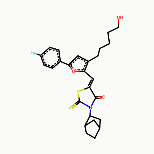 O=C1C(=Cc2oc(-c3ccc(F)cc3)cc2CCCCCO)SC(=S)N1C1CC2CCC1C2